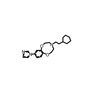 c1cn(-c2ccc3c(c2)OCCN(CCC2CCCCC2)CCO3)cn1